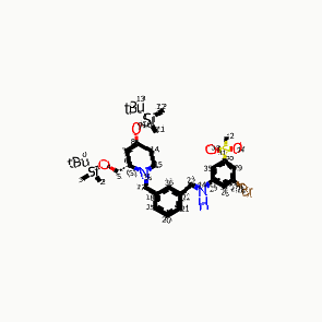 CC(C)(C)[Si](C)(C)OC[C@@H]1CC(O[Si](C)(C)C(C)(C)C)CCN1Cc1cccc(CNc2cc(Br)cc(S(C)(=O)=O)c2)c1